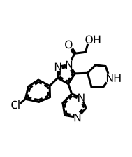 O=C(CO)n1nc(-c2ccc(Cl)cc2)c(-c2ccncn2)c1C1CCNCC1